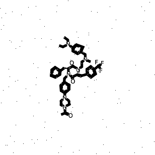 CCN(CC)c1ccc(CN(C)CCN(C)C(=O)[C@H](Cc2ccccc2)N(Cc2ccc(N3CCN(C(C)=O)CC3)cc2)C(=O)C=Cc2ccc(C(F)(F)F)cc2)cc1